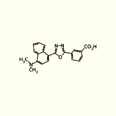 CN(C)c1ccc(-c2nnc(-c3cccc(C(=O)O)c3)o2)c2ccccc12